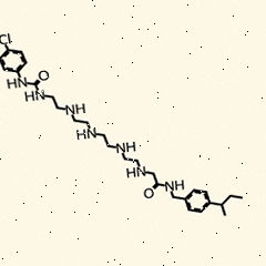 CCC(C)c1ccc(CNC(=O)CNCCNCCNCCNCCNC(=O)Nc2ccc(Cl)cc2)cc1